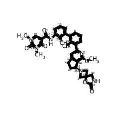 COc1nc(-c2cccc(-c3cccc(NC(=O)c4cn(C)c(=O)n(C)c4=O)c3C)c2Cl)cc2c1[C@@H](N1CC3(CNC(=O)O3)C1)CC2